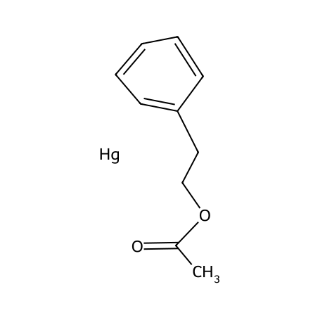 CC(=O)OCCc1ccccc1.[Hg]